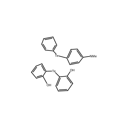 CNc1ccc([Te]c2ccccc2)cc1.Oc1ccccc1[Te]c1ccccc1O